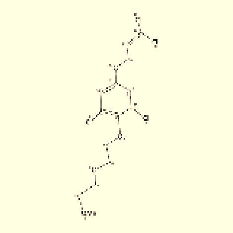 COCCOCCOc1c(Cl)cc(OCC=C(Cl)Cl)cc1Cl